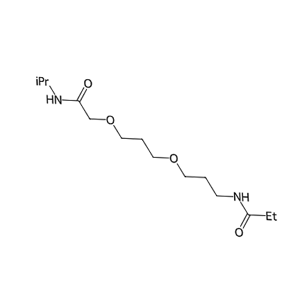 CCC(=O)NCCCOCCCOCC(=O)NC(C)C